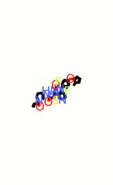 C=CC(=O)N1CCCC(NC(=O)c2sc3nccc4c3c2NC(=O)N4c2c(F)cc(OC3=CC=CC3C)cc2F)C1